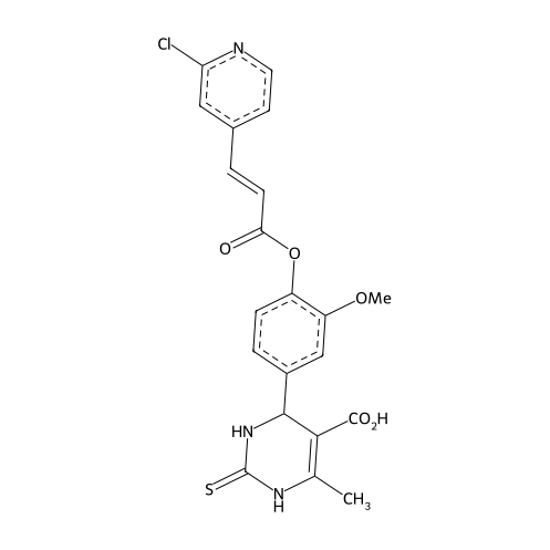 COc1cc(C2NC(=S)NC(C)=C2C(=O)O)ccc1OC(=O)C=Cc1ccnc(Cl)c1